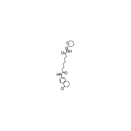 O=C(CCCCCCC(=O)Nc1ccc2c(c1)CCCC2=O)NOC1CCCCO1